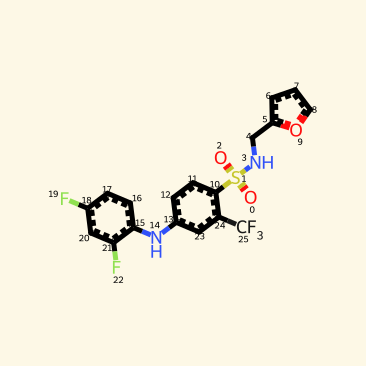 O=S(=O)(NCc1ccco1)c1ccc(Nc2ccc(F)cc2F)cc1C(F)(F)F